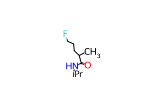 CC(C)NC(=O)C(C)CCCF